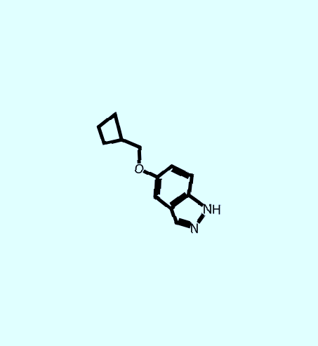 c1cc2[nH]ncc2cc1OCC1CCC1